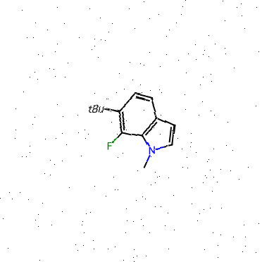 Cn1ccc2ccc(C(C)(C)C)c(F)c21